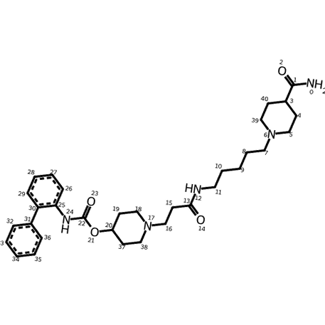 NC(=O)C1CCN(CCCCCNC(=O)CCN2CCC(OC(=O)Nc3ccccc3-c3ccccc3)CC2)CC1